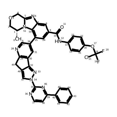 C[C@@H]1COCc2nc3cc(C(=O)Nc4ccc(OC(F)(F)Cl)cc4)cc(-c4cnc5c(c4)-c4nn(-c6nccc(-c7ccccc7)n6)cc4C5)c3n21